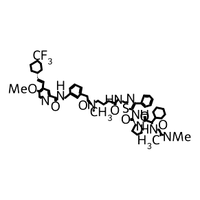 CNC(C)C(=O)NC(C(=O)N1CCC[C@H]1C(=O)Nc1sc(NC(=O)CCCN(C)C(=O)Cc2cccc(CNC(=O)c3cc(/C=C/[C@H]4CC[C@H](C(F)(F)F)CC4)c(OC)cn3)c2)nc1-c1ccccc1)C1CCCCC1